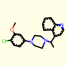 COc1cc(N2CCN(C(C)c3ccnc4ccccc34)CC2)ccc1Cl